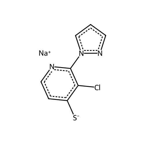 [Na+].[S-]c1ccnc(-n2cccn2)c1Cl